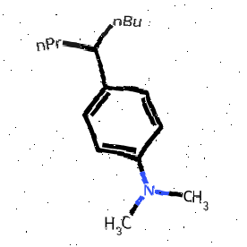 CCCCC(CCC)c1ccc(N(C)C)cc1